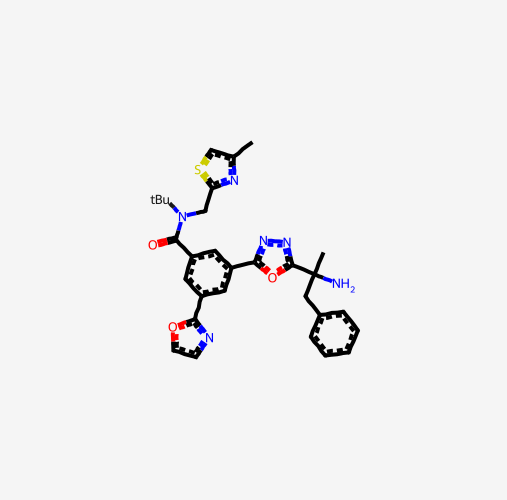 Cc1csc(CN(C(=O)c2cc(-c3ncco3)cc(-c3nnc(C(C)(N)Cc4ccccc4)o3)c2)C(C)(C)C)n1